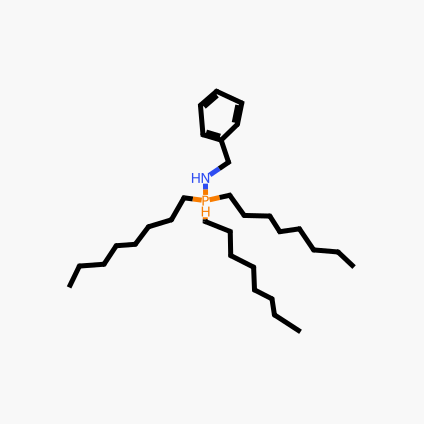 CCCCCCCC[PH](CCCCCCCC)(CCCCCCCC)NCc1ccccc1